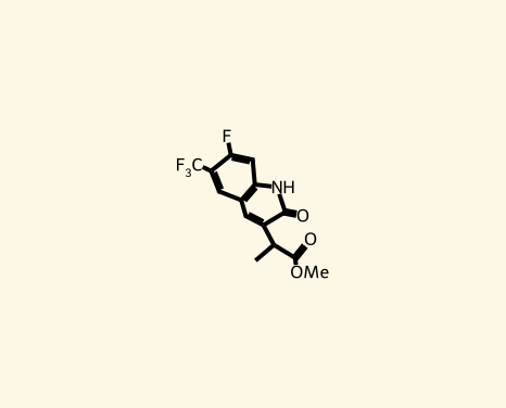 COC(=O)C(C)c1cc2cc(C(F)(F)F)c(F)cc2[nH]c1=O